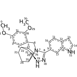 COc1ccc(CN2C(c3ccc4cc[nH]c4c3)=NN[C@@]23CC2CCC3CC2)c(OC)c1